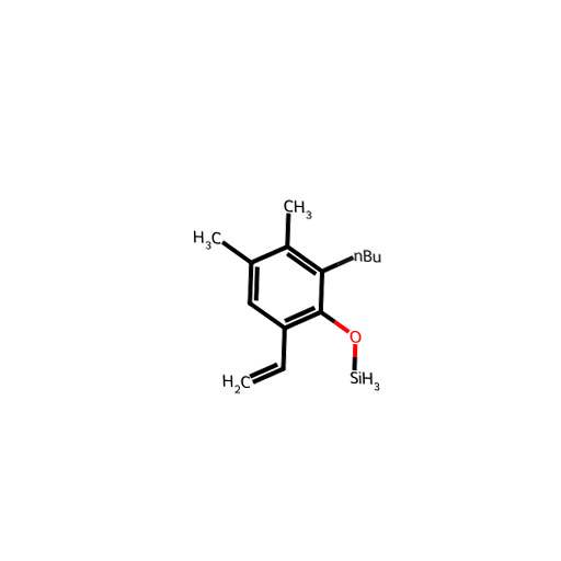 C=Cc1cc(C)c(C)c(CCCC)c1O[SiH3]